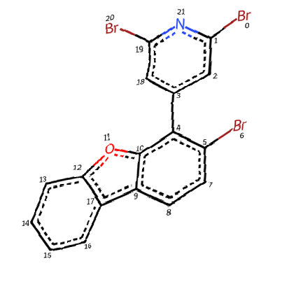 Brc1cc(-c2c(Br)ccc3c2oc2ccccc23)cc(Br)n1